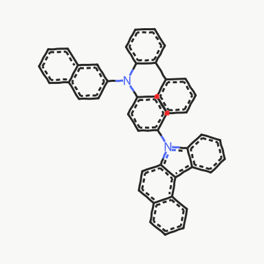 c1ccc(-c2ccccc2N(c2ccc(-n3c4ccccc4c4c5ccccc5ccc43)cc2)c2ccc3ccccc3c2)cc1